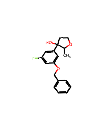 CC1OCCC1(O)c1cc(F)cc(OCc2ccccc2)c1